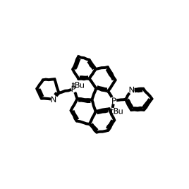 CC(C)(C)P(C1=C=C=CC=N1)c1ccc2ccccc2c1-c1c(P(C2=NC=CCC2)C(C)(C)C)ccc2ccccc12